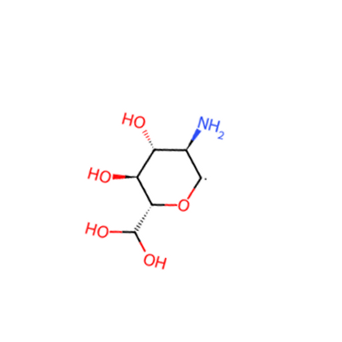 N[C@H]1[CH]O[C@H](C(O)O)[C@@H](O)[C@@H]1O